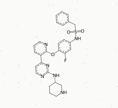 O=S(=O)(Cc1ccccc1)Nc1ccc(Oc2ncccc2-c2ccnc(NC3CCCNC3)n2)c(F)c1